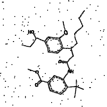 CCCCCC(CC(=O)Nc1cc(C(=O)OC)ccc1C(C)(C)C)c1ccc(C(O)CC)cc1OC